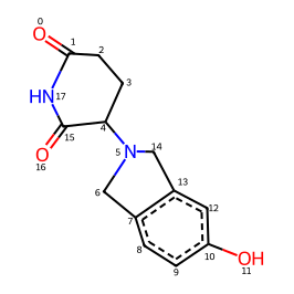 O=C1CCC(N2Cc3ccc(O)cc3C2)C(=O)N1